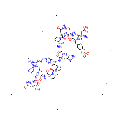 N=C(N)NCCC[C@H](NC(=O)[C@@H]1CCCN1C(=O)[C@@H]1CCCN1C(=O)[C@H](Cc1c[nH]cn1)NC(=O)[C@H](Cc1c[nH]cn1)NC(=O)CNC(=O)[C@@H]1CCCN1C(=O)[C@H](CC(N)=O)NC(=O)[C@H](CO)NC(=O)[C@H](Cc1ccc(OS(=O)(=O)F)cc1)NC(=O)[C@@H](N)CC(=O)O)C(=O)N[C@@H](Cc1c[nH]cn1)C(=O)N[C@@H](CC(N)=O)C(=O)O